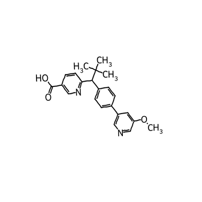 COc1cncc(-c2ccc(C(c3ccc(C(=O)O)cn3)C(C)(C)C)cc2)c1